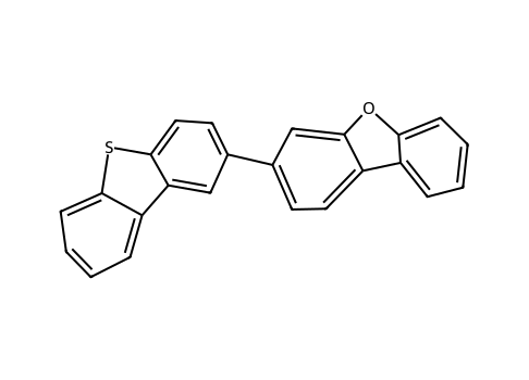 c1ccc2c(c1)oc1cc(-c3ccc4sc5ccccc5c4c3)ccc12